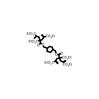 C=C(CC(CC(=C)C(=O)OCC)(C(=O)OCC)C(=O)OCC1CCC(COC(=O)C(CC(=C)C(=O)OCC)(CC(C)C(=O)OCC)C(=O)OCC)CC1)C(=O)OCC